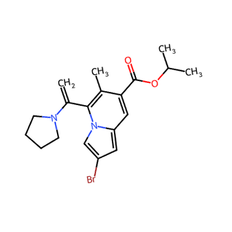 C=C(c1c(C)c(C(=O)OC(C)C)cc2cc(Br)cn12)N1CCCC1